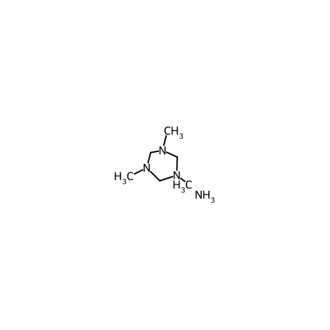 CN1CN(C)CN(C)C1.N